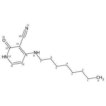 CCCCCCCCNc1cc[nH]c(=O)c1C#N